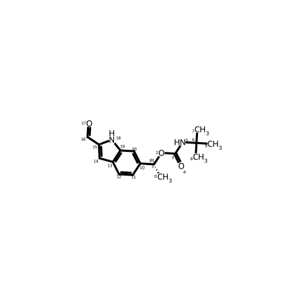 C[C@@H](OC(=O)NC(C)(C)C)c1ccc2cc(C=O)[nH]c2c1